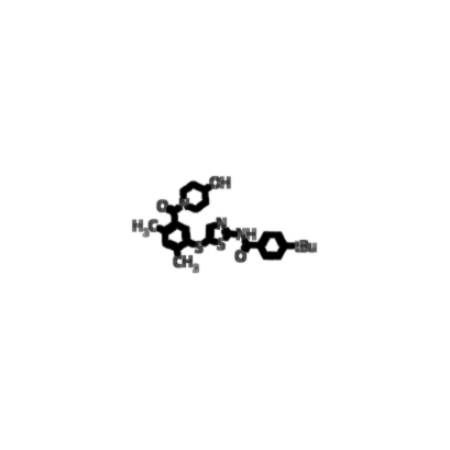 Cc1cc(C)c(C(=O)N2CCC(O)CC2)cc1Sc1cnc(NC(=O)c2ccc(C(C)(C)C)cc2)s1